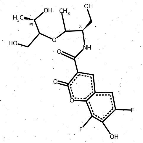 CC(OC(CO)[C@@H](C)O)[C@@H](CO)NC(=O)c1cc2cc(F)c(O)c(F)c2oc1=O